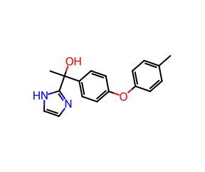 Cc1ccc(Oc2ccc(C(C)(O)c3ncc[nH]3)cc2)cc1